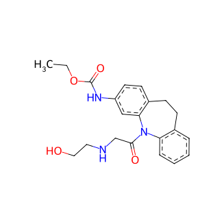 CCOC(=O)Nc1ccc2c(c1)N(C(=O)CNCCO)c1ccccc1CC2